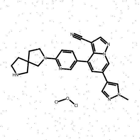 ClOCl.Cn1cc(-c2cc(-c3ccc(N4CCC5(CCNC5)C4)nc3)c3c(C#N)cnn3c2)cn1